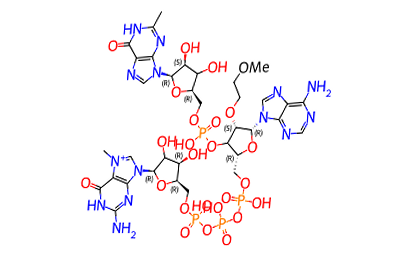 COCCO[C@H]1C(OP(=O)(O)OC[C@H]2O[C@@H](n3cnc4c(=O)[nH]c(C)nc43)[C@@H](O)C2O)[C@@H](COP(=O)(O)OP(=O)(O)OP(=O)(O)OC[C@H]2O[C@@H](n3c[n+](C)c4c(=O)[nH]c(N)nc43)C(O)[C@H]2O)O[C@H]1n1cnc2c(N)ncnc21